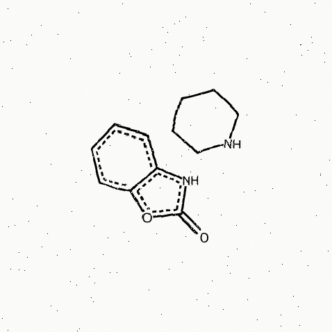 C1CCNCC1.O=c1[nH]c2ccccc2o1